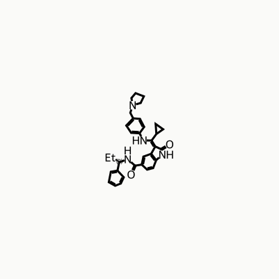 CC[C@@H](NC(=O)c1ccc2c(c1)C(=C(Nc1ccc(CN3CCCC3)cc1)C1CC1)C(=O)N2)c1ccccc1